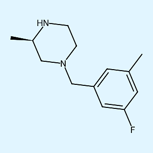 Cc1cc(F)cc(CN2CCN[C@H](C)C2)c1